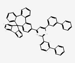 c1ccc(-c2cccc(-c3cc(-c4ccc5c(c4)-c4ccccc4-c4ccccc4C54c5ccccc5-c5ccccc54)nc(-c4cccc(-c5ccccc5)c4)n3)c2)cc1